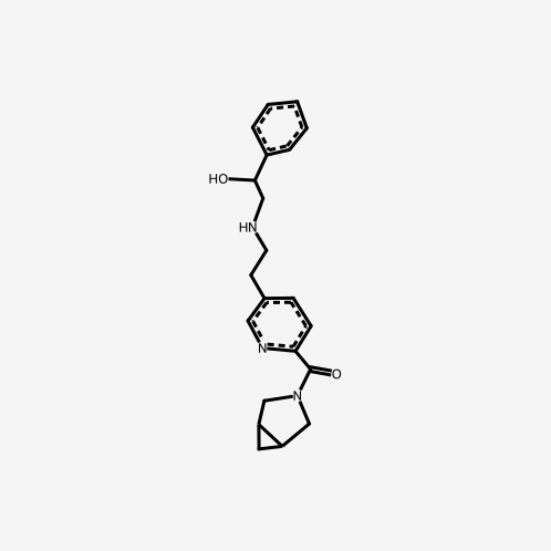 O=C(c1ccc(CCNCC(O)c2ccccc2)cn1)N1CC2CC2C1